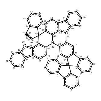 c1ccc2c(c1)-c1ccccc1C21c2ccccc2-c2ccc(N3c4ccc5c(oc6ccccc65)c4C4(c5ccccc5-c5ccccc54)c4ccc5c(oc6ccccc65)c43)cc21